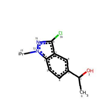 CC(O)c1ccc2c(c1)c(Cl)nn2C(C)C